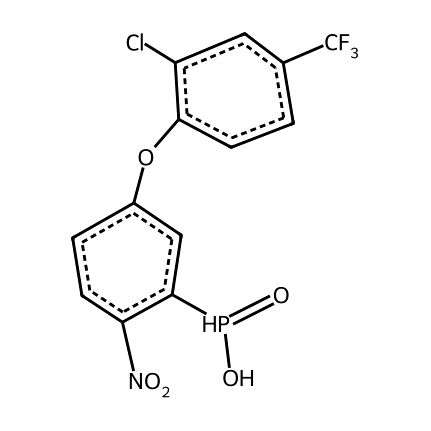 O=[N+]([O-])c1ccc(Oc2ccc(C(F)(F)F)cc2Cl)cc1[PH](=O)O